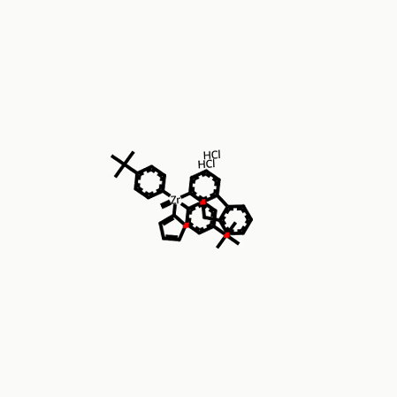 Cl.Cl.[CH2]=[Zr]([C]1=CC=CC1)([c]1ccc(C(C)(C)C)cc1)([c]1ccc(C(C)(C)C)cc1)[c]1cccc2c1Cc1ccccc1-2